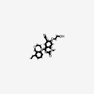 CCc1cccc2c1COCCN2c1nc(=O)n(C)c2cc(OCCO)c(C#N)cc12